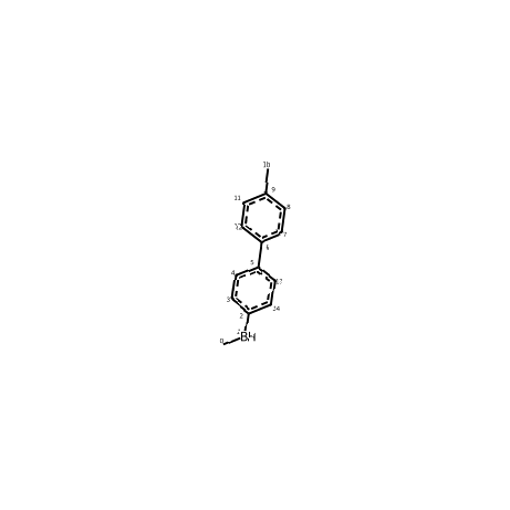 CBc1ccc(-c2ccc(C)cc2)cc1